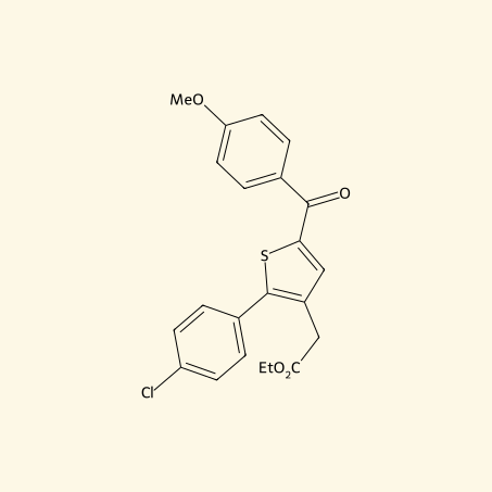 CCOC(=O)Cc1cc(C(=O)c2ccc(OC)cc2)sc1-c1ccc(Cl)cc1